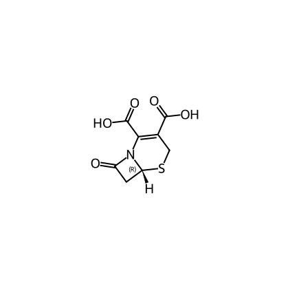 O=C(O)C1=C(C(=O)O)N2C(=O)C[C@H]2SC1